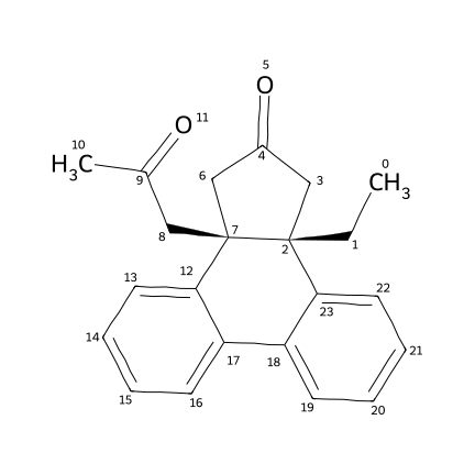 CC[C@]12CC(=O)C[C@@]1(CC(C)=O)c1ccccc1-c1ccccc12